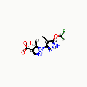 Cc1c(-n2ncc(C(=O)O)c2C)n[nH]c1OC(F)F